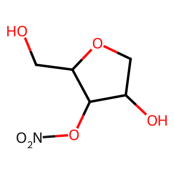 O=[N+]([O-])OC1C(O)COC1CO